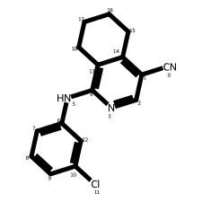 N#Cc1cnc(Nc2cccc(Cl)c2)c2c1CCCC2